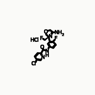 Cl.NC1=N[C@](CF)(c2cc(NC(=O)c3ccc(Cl)cn3)ccc2F)COC1